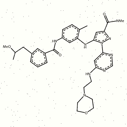 CNC(=O)c1cc(Nc2cc(NC(=O)c3cccc(CC(C)OC)c3)ccc2C)n(-c2cc(NCCN3CCOCC3)ncn2)n1